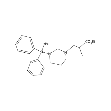 CCOC(=O)C(C)CN1CCCN([Si](c2ccccc2)(c2ccccc2)C(C)(C)C)C1